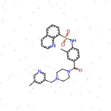 Cc1cncc(CN2CCN(C(=O)c3ccc(NS(=O)(=O)c4cccc5cccnc45)c(C)c3)CC2)c1